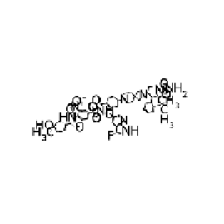 CC(C)c1ccccc1[C@@H]1CN(S(N)(=O)=O)CC[C@@H]1N1CC2(CCN(c3ccc(C(=O)NS(=O)(=O)c4cc5c(c([N+](=O)[O-])c4)N[C@@H]([C@H]4CC[C@](C)(O)CC4)CO5)c(Oc4cnc5[nH]cc(F)c5c4)c3)CC2)C1